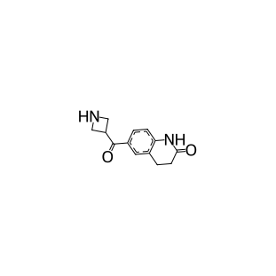 O=C1CCc2cc(C(=O)C3CNC3)ccc2N1